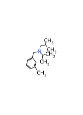 Cc1cccc(CN(CC(C)C)C(C)C)c1